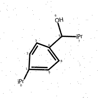 CC(C)c1ccc(C(O)C(C)C)cc1